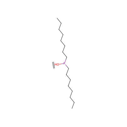 C=C.CCCCCCCCP(O)CCCCCCCC